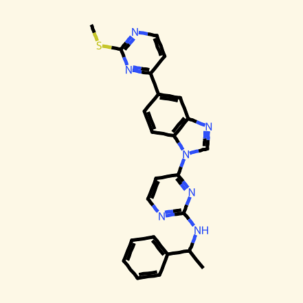 CSc1nccc(-c2ccc3c(c2)ncn3-c2ccnc(NC(C)c3ccccc3)n2)n1